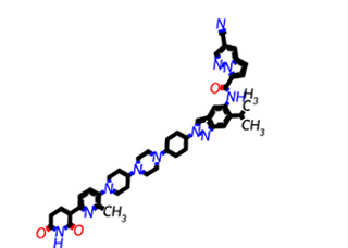 Cc1nc(C2CCC(=O)NC2=O)ccc1N1CCC(N2CCN(C3CCC(n4cc5cc(NC(=O)c6ccc7cc(C#N)cnn67)c(C(C)C)cc5n4)CC3)CC2)CC1